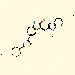 O=C1Nc2ccc(-c3csc(C4CCCCC4)n3)cc2/C1=C/c1cc2c([nH]1)CCCC2